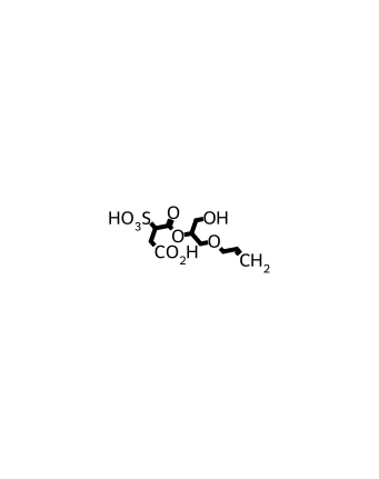 C=CCOCC(CO)OC(=O)C(CC(=O)O)S(=O)(=O)O